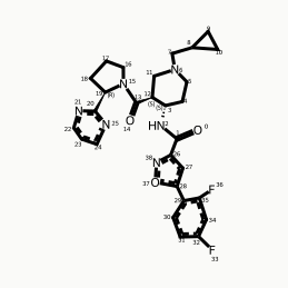 O=C(N[C@H]1CCN(CC2CC2)C[C@@H]1C(=O)N1CCC[C@@H]1c1ncccn1)c1cc(-c2ccc(F)cc2F)on1